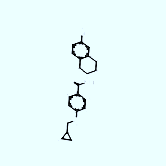 O=C(N[C@H]1CCc2cc(Br)ccc2C1)c1ccc(OCC2CC2)cc1